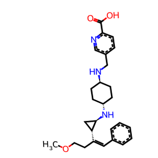 COCCC(=Cc1ccccc1)[C@@H]1C[C@H]1N[C@H]1CC[C@H](NCc2ccc(C(=O)O)nc2)CC1